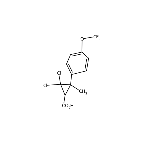 CC1(c2ccc(OC(F)(F)F)cc2)C(C(=O)O)C1(Cl)Cl